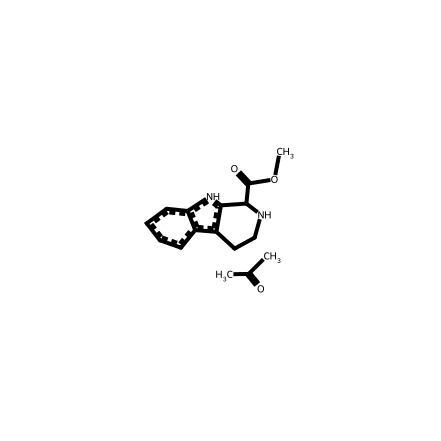 CC(C)=O.COC(=O)C1NCCc2c1[nH]c1ccccc21